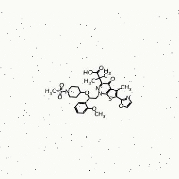 COc1ccccc1C(Cn1nc(C(C)(C)C(=O)O)c(=O)c2c(C)c(-c3ncco3)sc21)OC1CCN(S(C)(=O)=O)CC1